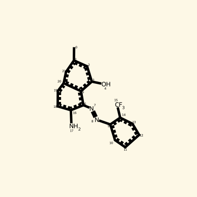 Cc1cc(O)c2c(/N=N/c3ccccc3C(F)(F)F)c(N)ccc2c1